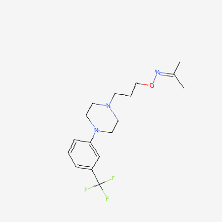 CC(C)=NOCCCN1CCN(c2cccc(C(F)(F)F)c2)CC1